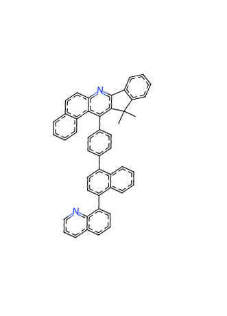 CC1(C)c2ccccc2-c2nc3ccc4ccccc4c3c(-c3ccc(-c4ccc(-c5cccc6cccnc56)c5ccccc45)cc3)c21